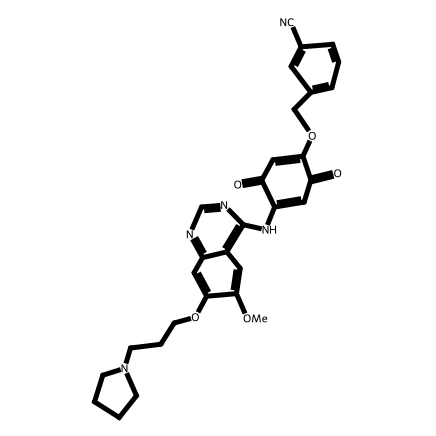 COc1cc2c(NC3=CC(=O)C(OCc4cccc(C#N)c4)=CC3=O)ncnc2cc1OCCCN1CCCC1